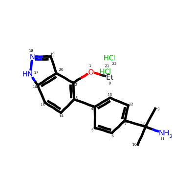 CCOc1c(-c2ccc(C(C)(C)N)cc2)ccc2[nH]ncc12.Cl.Cl